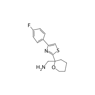 NCC1(c2nc(-c3ccc(F)cc3)cs2)CCCCO1